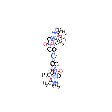 CN[C@@H](C)C(=O)N[C@H](C(=O)N1CCCC1C(=O)N[C@@H]1CCCc2c1cccc2N1CCN(c2cccc3c2CCC[C@H]3NC(=O)[C@@H]2CCCN2C(=O)[C@@H](NC(=O)[C@H](C)NC)C(C)C)CC1)C(C)C